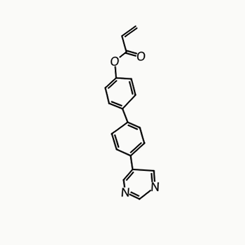 C=CC(=O)Oc1ccc(-c2ccc(-c3cncnc3)cc2)cc1